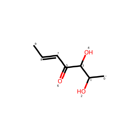 [CH2]C(O)C(O)C(=O)C=CC